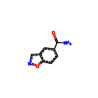 NC(=O)c1ccc2oncc2c1